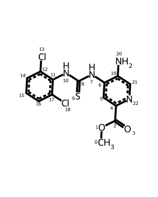 COC(=O)c1cc(NC(=S)Nc2c(Cl)cccc2Cl)c(N)cn1